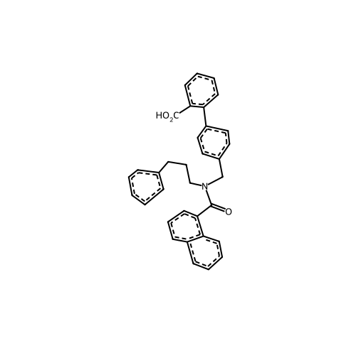 O=C(O)c1ccccc1-c1ccc(CN(CCCc2ccccc2)C(=O)c2cccc3ccccc23)cc1